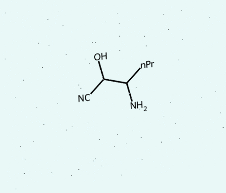 CCCC(N)C(O)C#N